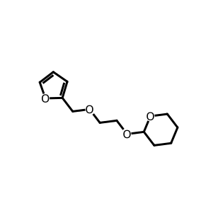 c1coc(COCCOC2CCCCO2)c1